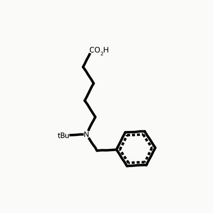 CC(C)(C)N(CCCCC(=O)O)Cc1ccccc1